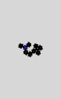 c1ccc(-c2nc(-c3ccccc3)nc(-c3cccc(-c4cccc(-c5ccc(-c6c(-c7ccccc7)c7ccccc7c7ccccc67)cc5)c4)c3)n2)cc1